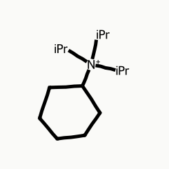 CC(C)[N+](C(C)C)(C(C)C)C1CCCCC1